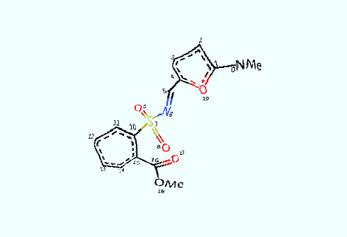 CNc1ccc(C=NS(=O)(=O)c2ccccc2C(=O)OC)o1